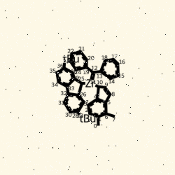 Cc1ccc2c(c1C)C=C[CH]2[Zr](=[C](c1ccccc1)c1ccccc1)[CH]1c2cc(C(C)(C)C)ccc2-c2ccc(C(C)(C)C)cc21